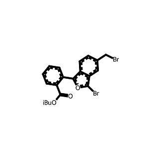 CC(C)COC(=O)c1ccccc1-c1oc(Br)c2cc(CBr)ccc12